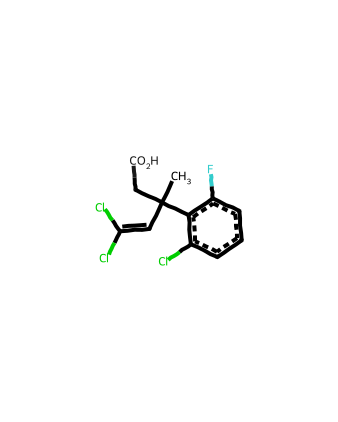 CC(C=C(Cl)Cl)(CC(=O)O)c1c(F)cccc1Cl